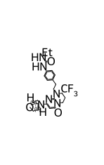 CCNC(=O)Nc1ccc(CCN2c3nc(N4C[C@@H]5C[C@H]4CO5)cc(=O)n3CCC2C(F)(F)F)cc1